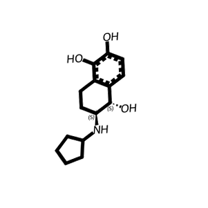 Oc1ccc2c(c1O)CC[C@H](NC1CCCC1)[C@H]2O